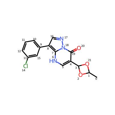 CC1OC(c2c[nH]c3c(-c4cccc(Cl)c4)cnn3c2=O)O1